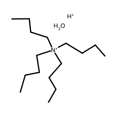 CCCC[N+](CCCC)(CCCC)CCCC.O.[H+]